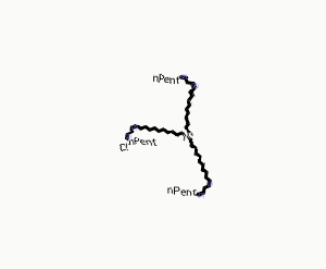 CCCCC/C=C\C/C=C\CCCCCCCCCC[N+](C)(CCCCCCCCCC/C=C\C/C=C\CCCCC)CCCCCCCCCC/C=C\C/C=C\CCCCC.[Cl-]